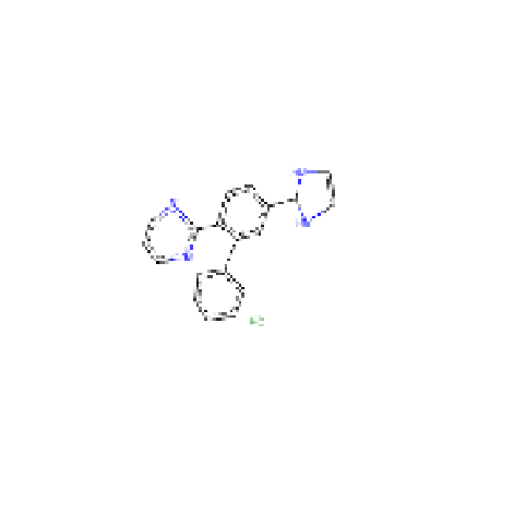 C1=CNC(c2ccc(-c3ncccn3)c(-c3ccccc3)c2)N1.Cl